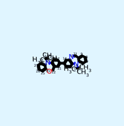 CC(C)(C)N1c2ccccc2C=Nc2cc(-c3ccc4c(c3)COc3ccccc3N4C(C)(C)C)ccc21